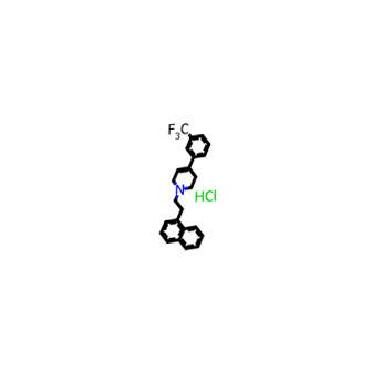 Cl.FC(F)(F)c1cccc(C2=CCN(CCc3cccc4ccccc34)CC2)c1